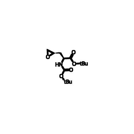 CC(C)(C)OC(=O)N[C@@H](C[C@H]1CO1)C(=O)OC(C)(C)C